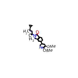 C=C(/C=C(\C)C1CC1)N1Cc2cc(-c3cnc(OC)c(OC)c3)ccc2C1=O